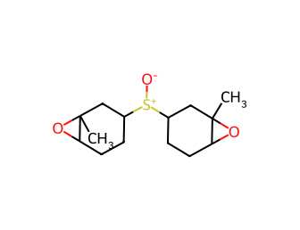 CC12CC([S+]([O-])C3CCC4OC4(C)C3)CCC1O2